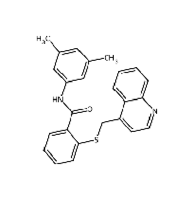 Cc1cc(C)cc(NC(=O)c2ccccc2SCc2ccnc3ccccc23)c1